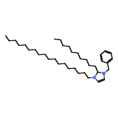 CCCCCCCCCCCCCCCCCCN1C=CN(Cc2ccccc2)C1CCCCCCCCCC